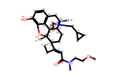 COCCN(C)C(=O)/C=C1\CC[C@]12CC[C@@]1(O)[C@H]3Cc4ccc(O)c5c4[C@@]1(CCN3CC1CC1)[C@H]2O5